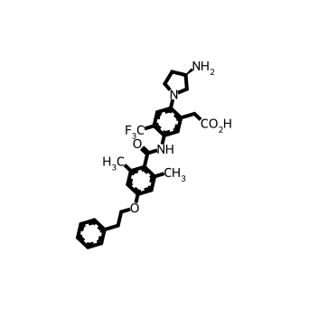 Cc1cc(OCCc2ccccc2)cc(C)c1C(=O)Nc1cc(CC(=O)O)c(N2CC[C@@H](N)C2)cc1C(F)(F)F